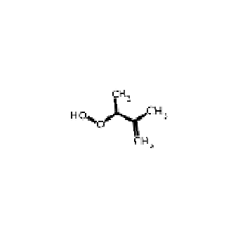 C=C(C)C(C)OO